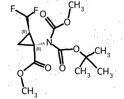 COC(=O)N(C(=O)OC(C)(C)C)[C@]1(C(=O)OC)C[C@H]1C(F)F